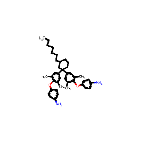 CCCCCCCC1CCCC(c2cc(C)c(Oc3ccc(N)cc3)c(C)c2)(c2cc(C)c(Oc3ccc(N)cc3)c(C)c2)C1